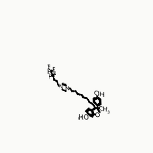 CC1(c2ccc(O)cc2)COc2cc(O)ccc2C1CCCCCCCCCN1CCN(CCCC(F)(F)C(F)(F)F)CC1